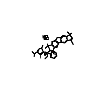 Cl.Cl.[CH2]=[Zr]([CH2]C)([C]1=C(C)C(C(C)C)=CC1C)([C]1=C(C)c2cc3c(cc2C1(C)C)Cc1cc2c(cc1-3)C(C)=CC2(C)C)[c]1ccccc1